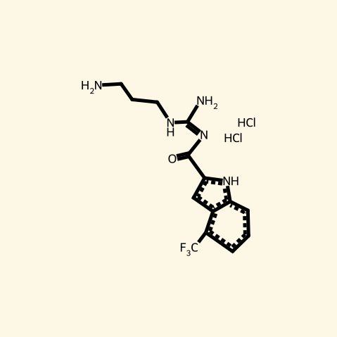 Cl.Cl.NCCCNC(N)=NC(=O)c1cc2c(C(F)(F)F)cccc2[nH]1